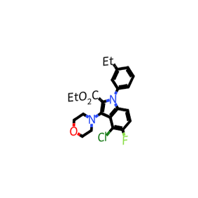 CCOC(=O)c1c(N2CCOCC2)c2c(Cl)c(F)ccc2n1-c1cccc(CC)c1